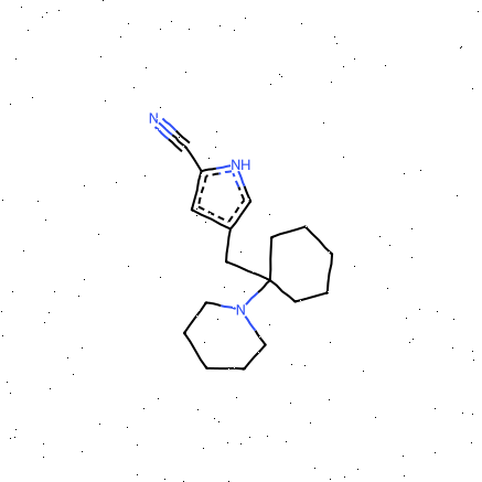 N#Cc1cc(CC2(N3CCCCC3)CCCCC2)c[nH]1